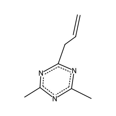 C=CCc1nc(C)nc(C)n1